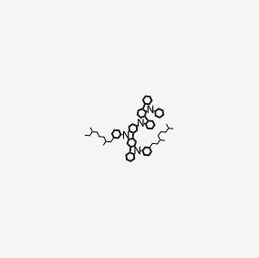 CCC(C)CCCC(C)Cc1cccc(-n2c3ccc(-n4c5ccccc5c5c4ccc4c6ccccc6n(-c6ccccc6)c45)cc3c3cc4c(cc32)c2ccccc2n4-c2cccc(CCC(C)CCCC(C)C)c2)c1